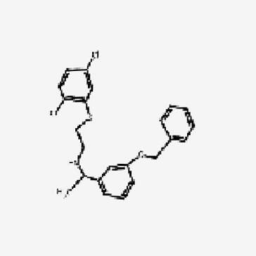 CC(NCCSc1cc(Cl)ccc1Cl)c1cccc(OCc2ccccc2)c1